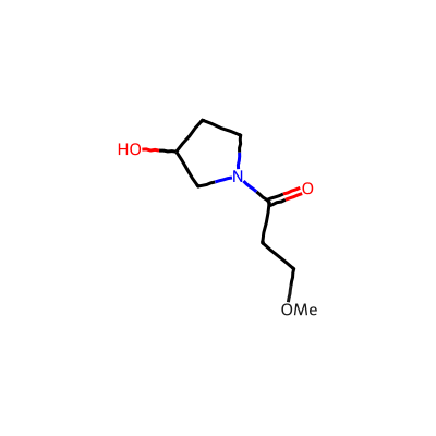 COCCC(=O)N1CCC(O)C1